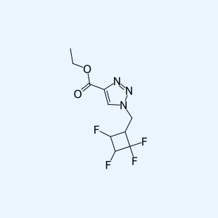 CCOC(=O)c1cn(CC2C(F)C(F)C2(F)F)nn1